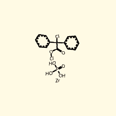 O=C(OCl)C(Cl)(c1ccccc1)c1ccccc1.O=P(O)(O)O.[Zr]